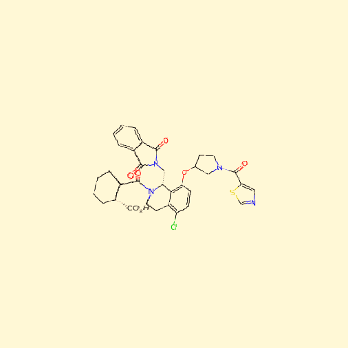 O=C(O)[C@@H]1CCCCC1C(=O)N1CCc2c(Cl)ccc(OC3CCN(C(=O)c4cncs4)C3)c2[C@H]1CN1C(=O)c2ccccc2C1=O